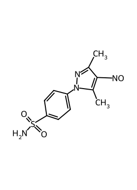 Cc1nn(-c2ccc(S(N)(=O)=O)cc2)c(C)c1N=O